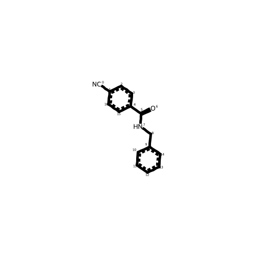 N#Cc1ccc(C(=O)NCc2cc[c]cc2)cc1